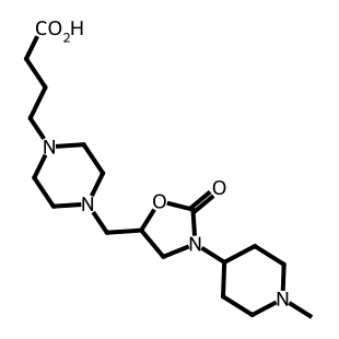 CN1CCC(N2CC(CN3CCN(CCCC(=O)O)CC3)OC2=O)CC1